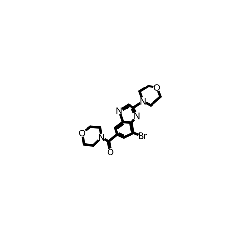 O=C(c1cc(Br)c2nc(N3CCOCC3)cnc2c1)N1CCOCC1